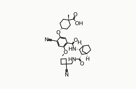 COc1cc(C#N)c(O[C@H]2CC[C@@](C)(C(=O)O)CC2)cc1C(=O)N[C@@H]1[C@H]2CC[C@H](C2)[C@@H]1C(=O)NCC1(C#N)CCC1